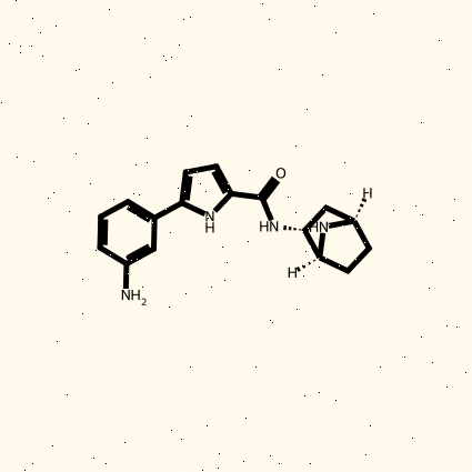 Nc1cccc(-c2ccc(C(=O)N[C@@H]3C[C@H]4CC[C@@H]3N4)[nH]2)c1